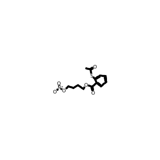 CC(=O)Sc1ccccc1C(=O)OCCCCO[N+](=O)[O-]